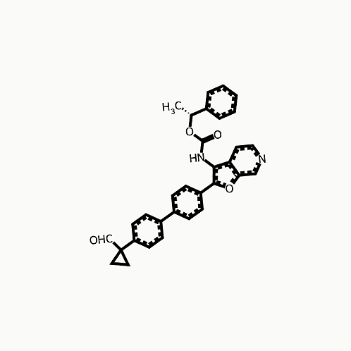 C[C@@H](OC(=O)Nc1c(-c2ccc(-c3ccc(C4(C=O)CC4)cc3)cc2)oc2cnccc12)c1ccccc1